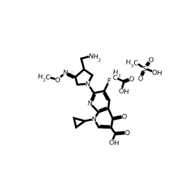 CC(=O)O.CO/N=C1\CN(c2nc3c(cc2F)c(=O)c(C(=O)O)cn3C2CC2)CC1CN.CS(=O)(=O)O